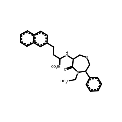 CCOC(=O)C(CCc1ccc2ccccc2c1)NC1CSCC(c2ccccc2)N(CC(=O)O)C1=O